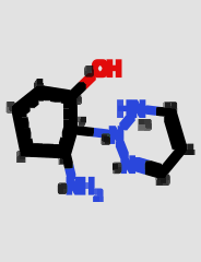 Nc1cccc(O)c1N1N=CC=CN1